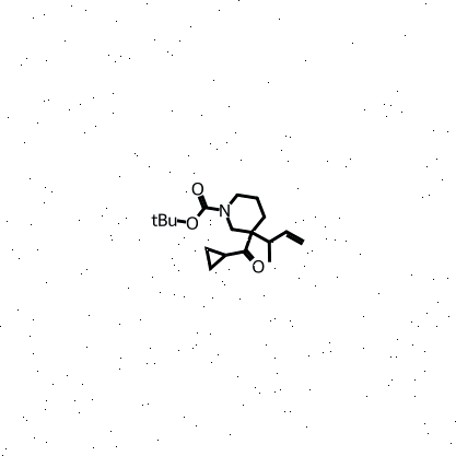 C=CC(C)C1(C(=O)C2CC2)CCCN(C(=O)OC(C)(C)C)C1